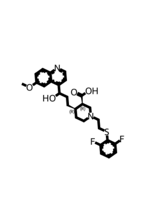 COc1ccc2nccc(C(O)CC[C@@H]3CCN(CCSc4c(F)cccc4F)C[C@@H]3C(=O)O)c2c1